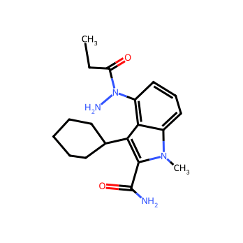 CCC(=O)N(N)c1cccc2c1c(C1CCCCC1)c(C(N)=O)n2C